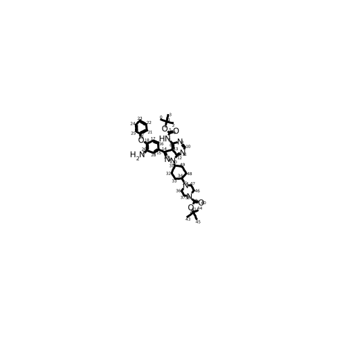 CC(C)(C)OC(=O)Nc1ncnc2c1c(-c1ccc(Oc3ccccc3)c(N)c1)nn2C1CCC(N2CCN(C(=O)OC(C)(C)C)CC2)CC1